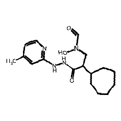 Cc1ccnc(NNC(=O)C(CN(O)C=O)C2CCCCCC2)c1